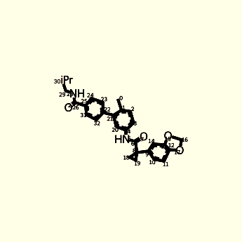 Cc1ccc(NC(=O)C2(c3ccc4c(c3)OCO4)CC2)cc1-c1ccc(C(=O)NCC(C)C)cc1